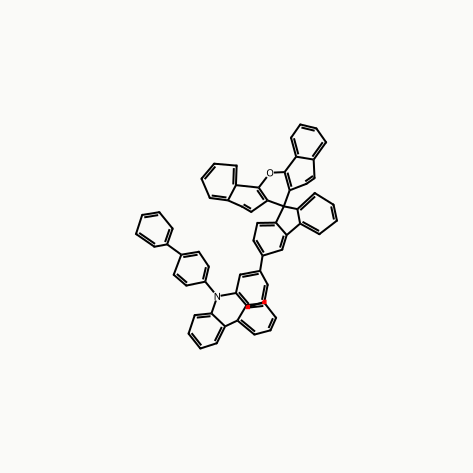 c1ccc(-c2ccc(N(c3cccc(-c4ccc5c(c4)-c4ccccc4C54c5ccc6ccccc6c5Oc5c4ccc4ccccc54)c3)c3ccccc3-c3ccccc3)cc2)cc1